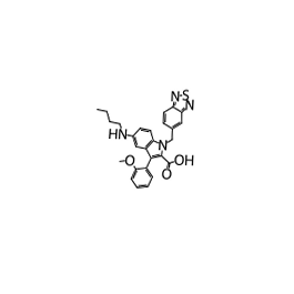 CCCCNc1ccc2c(c1)c(-c1ccccc1OC)c(C(=O)O)n2Cc1ccc2nsnc2c1